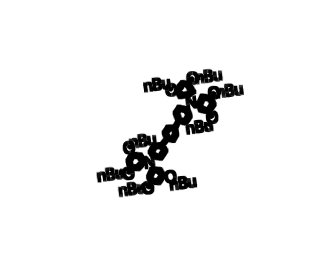 CCCCOc1cc(OCCCC)cc(N(c2ccc(-c3ccc(-c4ccc(N(c5cc(OCCCC)cc(OCCCC)c5)c5cc(OCCCC)cc(OCCCC)c5)cc4)cc3)cc2)c2cc(OCCCC)cc(OCCCC)c2)c1